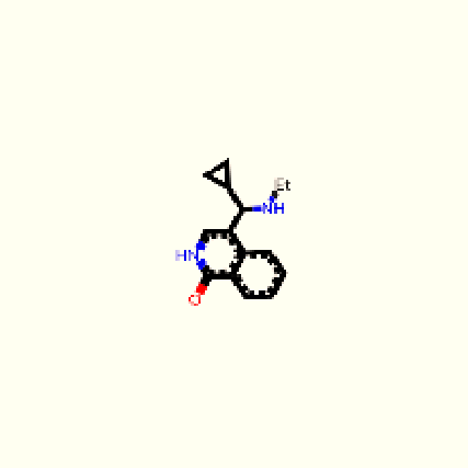 CCNC(c1c[nH]c(=O)c2ccccc12)C1CC1